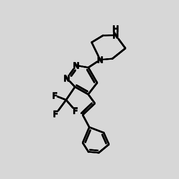 FC(F)(F)c1nnc(N2CCNCC2)cc1/C=C/c1ccccc1